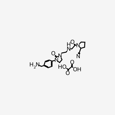 N#CC1CCCN1C(=O)CNCCN1CCN(c2ccc(CN)cc2)C1=O.O=C(O)C(=O)O